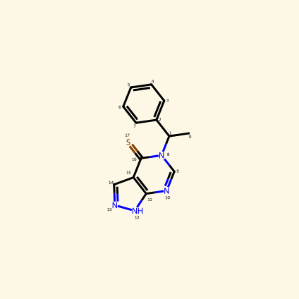 CC(c1ccccc1)n1cnc2[nH]ncc2c1=S